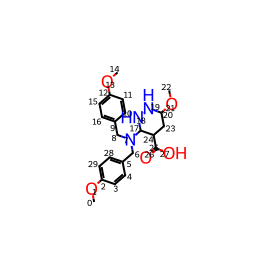 COc1ccc(CN(Cc2ccc(OC)cc2)C2NNC(OC)CC2C(=O)O)cc1